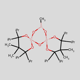 CB1O[B-]2(O[B-]3(O1)OC(C(C)C)(C(C)C)C(C)(C)C(C(C)C)(C(C)C)O3)OC(C(C)C)(C(C)C)C(C)(C)C(C(C)C)(C(C)C)O2